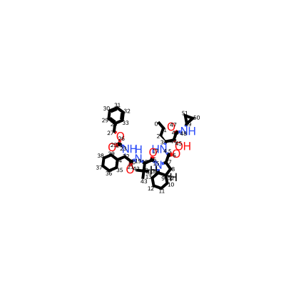 CCC[C@H](NC(=O)C1C[C@@H]2CCCC[C@@H]2N1C(=O)C(NC(=O)[C@@H](NC(=O)OCc1ccccc1)C1CCCCC1)C(C)(C)C)C(O)C(=O)NC1CC1